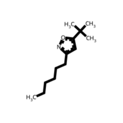 CCCCCCc1cc(C(C)(C)C)on1